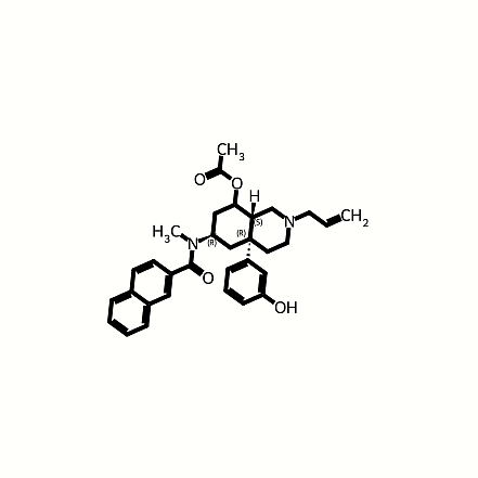 C=CCN1CC[C@@]2(c3cccc(O)c3)C[C@@H](N(C)C(=O)c3ccc4ccccc4c3)CC(OC(C)=O)[C@@H]2C1